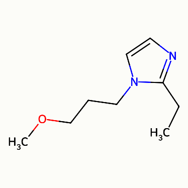 CCc1nccn1CCCOC